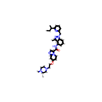 CCC(C)c1cccc(Cn2nc(C)c3c(NC(=O)c4cnc5cc(OCCN6CCN(C)[C@@H](C)C6)ccn45)cccc32)n1